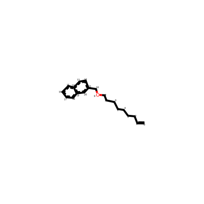 C=CCCCCCCCOCc1ccc2ccccc2c1